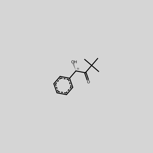 CC(C)(C)C(=O)[C@@H](O)c1ccccc1